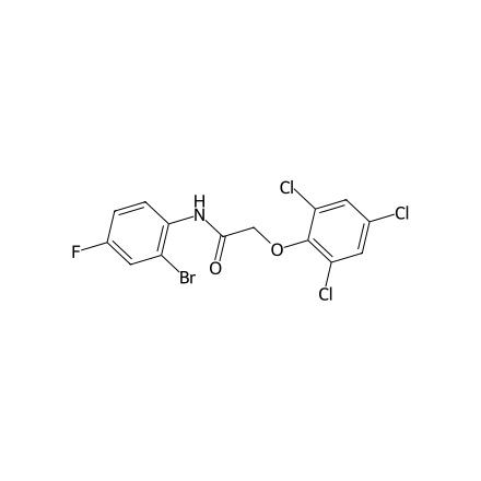 O=C(COc1c(Cl)cc(Cl)cc1Cl)Nc1ccc(F)cc1Br